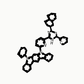 c1ccc(C2N=C(c3ccc4ccccc4c3)N=C(c3cccc(-n4c5ccccc5c5cc6c7ccccc7n(-c7ccccc7)c6cc54)n3)N2)cc1